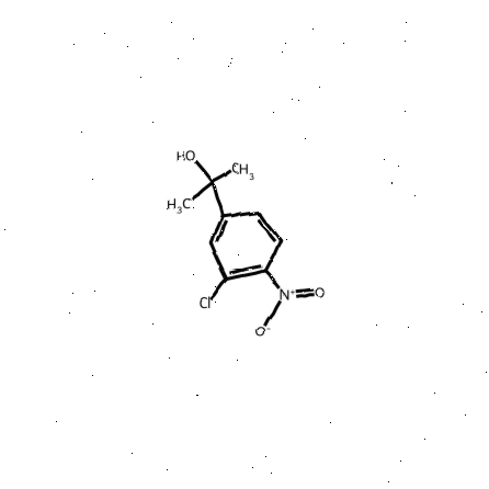 CC(C)(O)c1ccc([N+](=O)[O-])c(Cl)c1